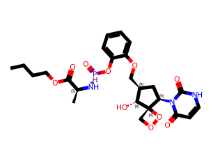 CCCCOC(=O)[C@H](C)N[PH](=O)Oc1ccccc1OC[C@H]1C[C@@H](n2c(=O)cc[nH]c2=O)[C@@]2(COO2)[C@@H]1O